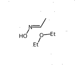 C/C=N/O.CCOCC